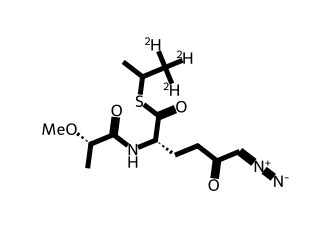 [2H]C([2H])([2H])C(C)SC(=O)[C@H](CCC(=O)C=[N+]=[N-])NC(=O)[C@H](C)OC